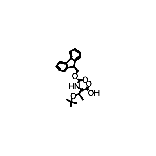 CC(OC(C)(C)C)[C@H](NC(=O)OCC1c2ccccc2-c2ccccc21)C(=O)O